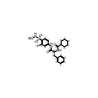 CC(C)(C)NS(=O)(=O)c1ccc(NC(=O)[C@H](Cc2ccccc2)NC(=O)C2CCCCC2)cc1F